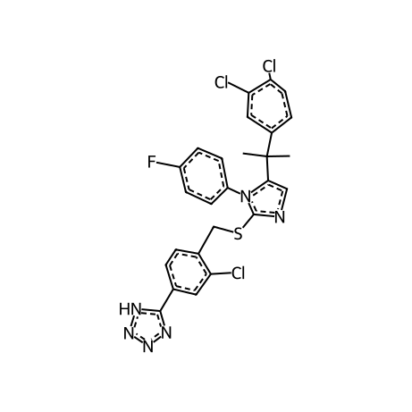 CC(C)(c1ccc(Cl)c(Cl)c1)c1cnc(SCc2ccc(-c3nnn[nH]3)cc2Cl)n1-c1ccc(F)cc1